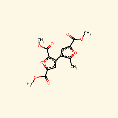 COC(=O)c1cc(-c2cc(C(=O)OC)oc2C(=O)OC)c(C)o1